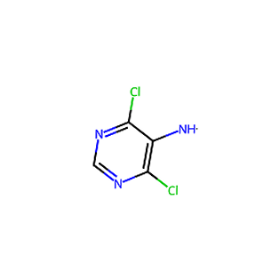 [NH]c1c(Cl)ncnc1Cl